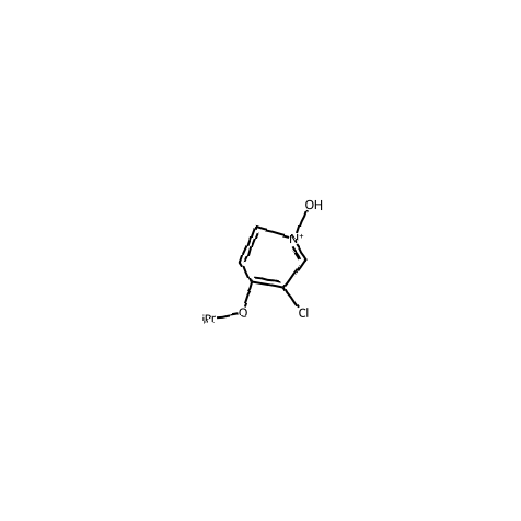 CC(C)Oc1cc[n+](O)cc1Cl